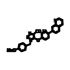 CCOC(=O)c1nnn(Cc2ccc(OC)cc2)c1Oc1ccc(-c2ccc3cccnc3c2)cc1